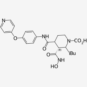 CCC(C)C1[C@H](C(=O)NO)C(C(=O)Nc2ccc(Oc3ccncc3)cc2)CCN1C(=O)O